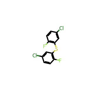 Fc1ccc(Cl)cc1Sc1cc(Cl)ccc1F